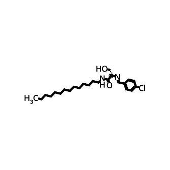 CCCCCCCCCCCCCCNC(=O)[C@H](CO)N=Cc1ccc(Cl)cc1